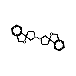 c1ccc2c(c1)COC21CCN(N2CCC3(C2)OCc2ccccc23)C1